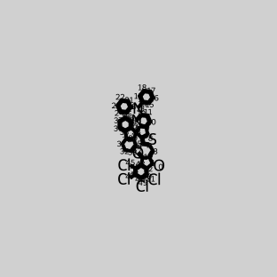 O=C1C(=Cc2cc3c(s2)-c2ccc(N(c4ccccc4)c4ccccc4)nc2C32C3=C(CCC=C3)c3ccccc32)C(=O)c2c(Cl)c(Cl)c(Cl)c(Cl)c21